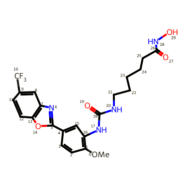 COc1ccc(-c2nc3cc(C(F)(F)F)ccc3o2)cc1NC(=O)NCCCCCC(=O)NO